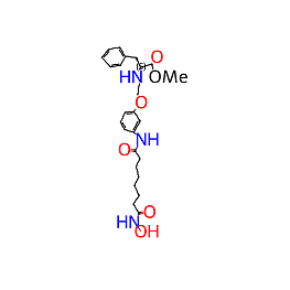 COC(=O)[C@H](Cc1ccccc1)NCCOc1cccc(NC(=O)CCCCCCC(=O)NO)c1